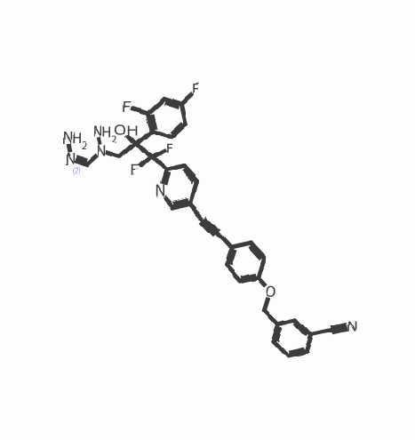 N#Cc1cccc(COc2ccc(C#Cc3ccc(C(F)(F)C(O)(CN(N)/C=N\N)c4ccc(F)cc4F)nc3)cc2)c1